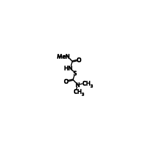 CNC(=O)NSC(=O)N(C)C